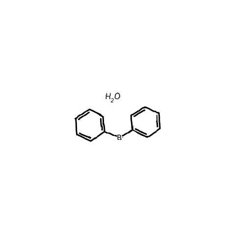 O.[B](c1ccccc1)c1ccccc1